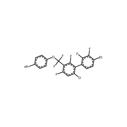 CCCc1ccc(OC(F)(F)c2c(F)cc([O])c(-c3ccc(CC)c(F)c3F)c2F)cc1